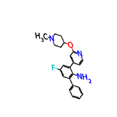 CN1CCC(Oc2cc(-c3cc(F)cc(-c4ccccc4)c3N)ccn2)CC1